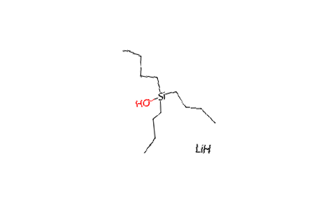 CCCC[Si](O)(CCCC)CCCC.[LiH]